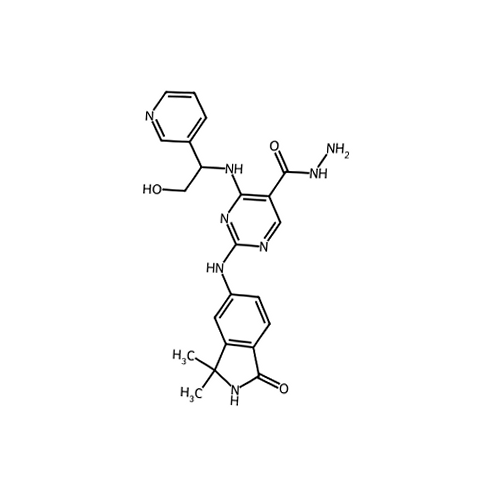 CC1(C)NC(=O)c2ccc(Nc3ncc(C(=O)NN)c(NC(CO)c4cccnc4)n3)cc21